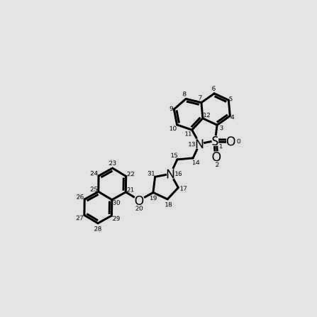 O=S1(=O)c2cccc3cccc(c23)N1CCN1CCC(Oc2cccc3ccccc23)C1